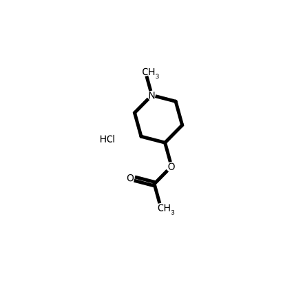 CC(=O)OC1CCN(C)CC1.Cl